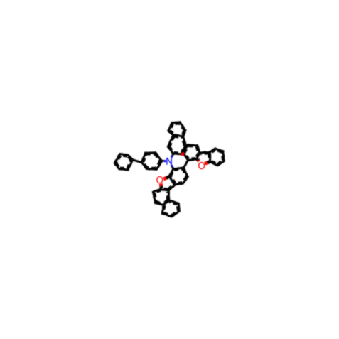 c1ccc(-c2ccc(N(c3ccc4ccccc4c3)c3c(-c4cccc5c4oc4ccccc45)ccc4c3oc3ccc5ccccc5c34)cc2)cc1